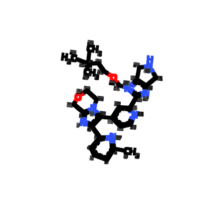 Cc1cccc(-c2nc3n(c2-c2ccnc(-c4nc5c(n4COCC[Si](C)(C)C)CNC5)c2)CCOC3)n1